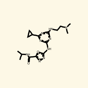 CC(C)NC(=O)c1nnc(Nc2nc(NCCN(C)C)nc(C3CC3)n2)o1